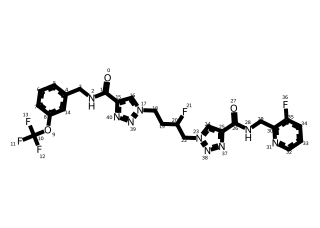 O=C(NCc1cccc(OC(F)(F)F)c1)c1cn(CCC(F)Cn2cc(C(=O)NCc3ncccc3F)nn2)nn1